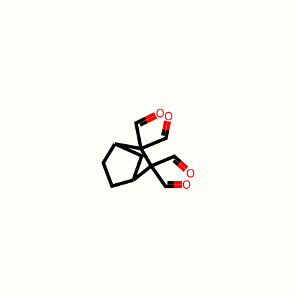 O=CC1(C=O)C2CCC(C2)C1(C=O)C=O